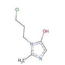 Cc1ncc(O)n1CCCCl